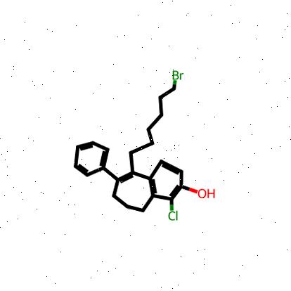 Oc1ccc2c(c1Cl)CCCC(c1ccccc1)=C2CCCCCCBr